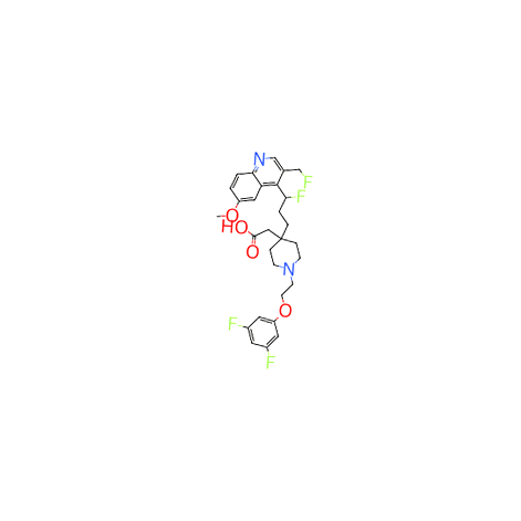 COc1ccc2ncc(CF)c(C(F)CCC3(CC(=O)O)CCN(CCOc4cc(F)cc(F)c4)CC3)c2c1